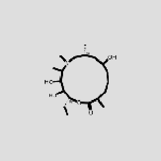 CC[C@H]1OC(=O)C(C)CCCC(O)C[C@@H](C)CN(C)C(C)C(O)C1O